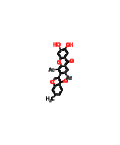 CC(=O)c1cc2c(=O)c3cc(O)c(O)cc3oc2c(C(C)=O)c1-c1coc2cc(C)ccc2c1=O